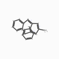 BC1=C/C(c2ccccc2)=C/c2ccccc2C\C(C)=C\1